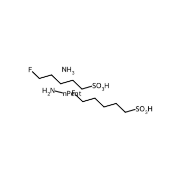 CCCCCN.N.O=S(=O)(O)CCCCCF.O=S(=O)(O)CCCCCF